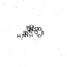 CN1C(NC(=O)c2cnc(N)nc2)=Cc2c(ccc3c2OCCOCCOCCO3)C1(C)O